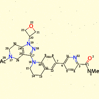 CNC(=O)c1ccc(-c2ccc3c(c2)CCCN3c2nn(C3COC3)c3c2CN(C(C)=O)CC3)cn1